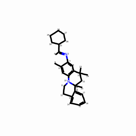 C/C(=N\c1cc2c(cc1C)N1CCc3ccccc3C1(C)CC2(C)C)C1CCCCC1